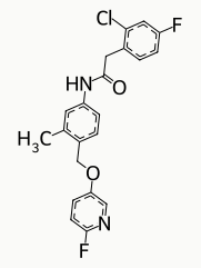 Cc1cc(NC(=O)Cc2ccc(F)cc2Cl)ccc1COc1ccc(F)nc1